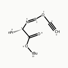 C#CO/B=N/[C@@H](CCC)C(=O)OC(C)(C)C